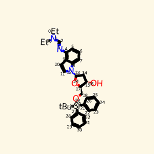 CCN(/C=N/c1cccc2c1ccn2[C@H]1C[C@H](O)[C@@H](CO[Si](c2ccccc2)(c2ccccc2)C(C)(C)C)O1)CC